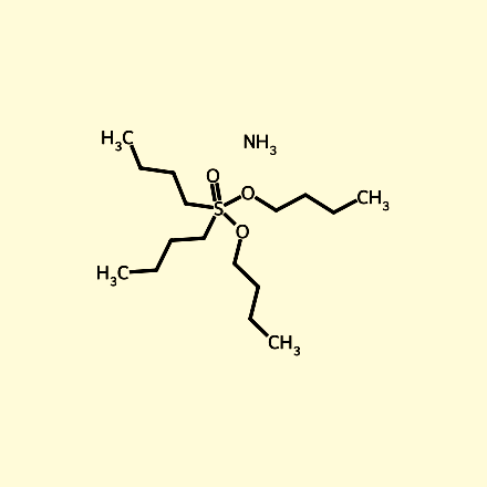 CCCCOS(=O)(CCCC)(CCCC)OCCCC.N